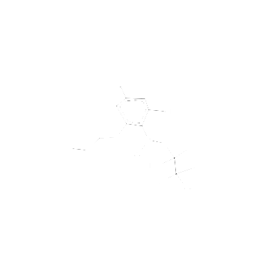 CCOCOc1cc(Cl)cc(Cl)c1B(O)OC(C)(C)C(C)(C)O